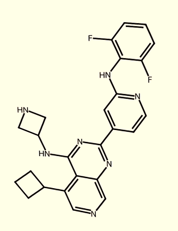 Fc1cccc(F)c1Nc1cc(-c2nc(NC3CNC3)c3c(C4CCC4)cncc3n2)ccn1